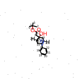 CC(C)(C)OC(=O)C[C@]1(O)C[C@@H]2CC[C@H]1CN2c1ccccc1